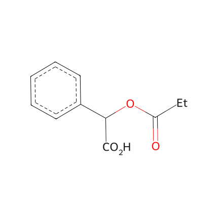 CCC(=O)OC(C(=O)O)c1ccccc1